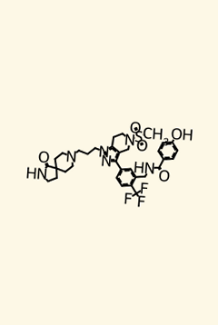 CS(=O)(=O)N1CCc2c(c(-c3ccc(C(F)(F)F)c(CNC(=O)c4ccc(O)cc4)c3)nn2CCCN2CCC3(CCNC3=O)CC2)C1